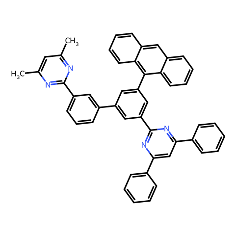 Cc1cc(C)nc(-c2cccc(-c3cc(-c4nc(-c5ccccc5)cc(-c5ccccc5)n4)cc(-c4c5ccccc5cc5ccccc45)c3)c2)n1